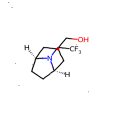 OCC1C[C@H]2CC[C@@H](C1)N2CC(F)(F)F